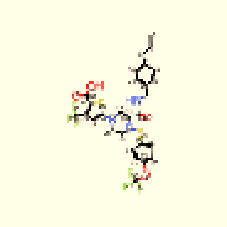 CCCc1ccc(CNC(=O)[C@H]2CN(c3cc(C(F)(F)F)c(C(=O)O)s3)CCN2Sc2ccc(OC(F)(F)F)cc2)cc1